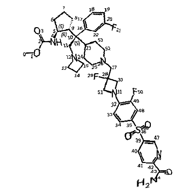 COC(=O)N[C@H]1CCC[C@@H]1[C@](CN1CCC1)(c1cccc(F)c1)C1CCN(CC2(F)CN(c3ccc(S(=O)(=O)c4ccc(C(N)=O)nc4)cc3F)C2)CC1